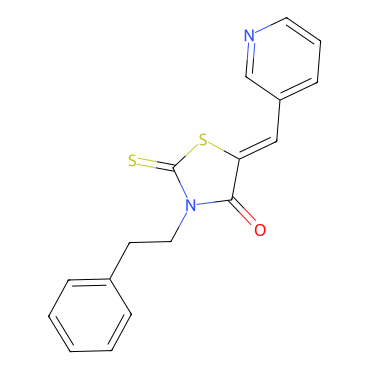 O=C1C(=Cc2cccnc2)SC(=S)N1CCc1ccccc1